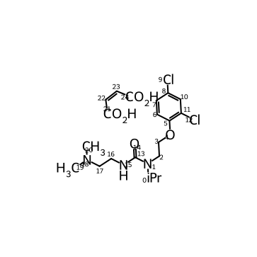 CC(C)N(CCOc1ccc(Cl)cc1Cl)C(=O)NCCN(C)C.O=C(O)/C=C\C(=O)O